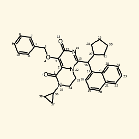 O=C1c2c(OCc3ccccc3)c(=O)nc(C(c3cccc4ccccc34)C3CCCC3)n2CCN1C1CC1